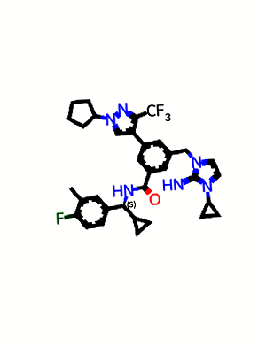 Cc1cc([C@@H](NC(=O)c2cc(Cn3ccn(C4CC4)c3=N)cc(-c3cn(C4CCCC4)nc3C(F)(F)F)c2)C2CC2)ccc1F